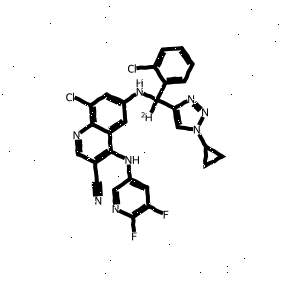 [2H]C(Nc1cc(Cl)c2ncc(C#N)c(Nc3cnc(F)c(F)c3)c2c1)(c1cn(C2CC2)nn1)c1ccccc1Cl